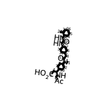 CC(=O)CNC(CC(=O)O)c1ccc(N(C)C(=O)Cc2ccc(NC(=O)Nc3ccccc3C)cc2)cc1